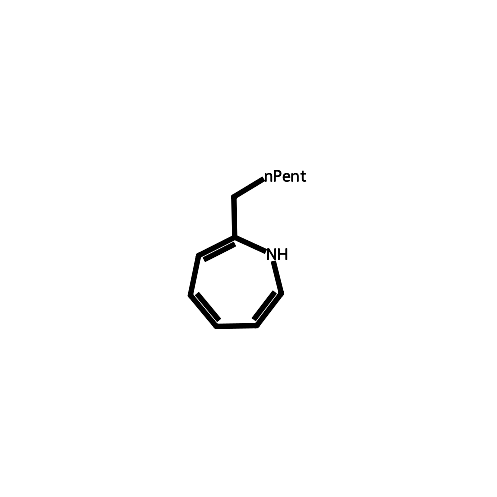 CCCCCCC1=CC=CC=CN1